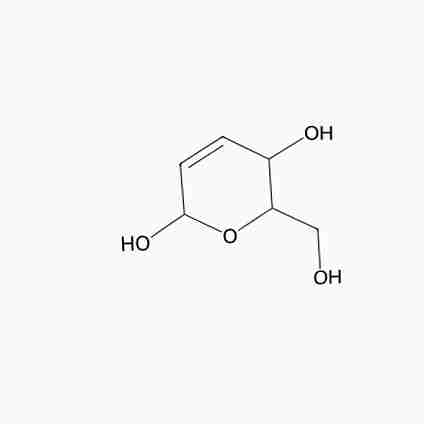 OCC1OC(O)C=CC1O